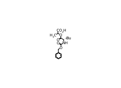 CCC(C)[C@H](NC(=O)OCc1ccccc1)C(=O)OC(C)C(=O)O